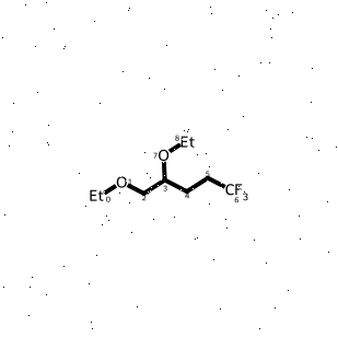 CCO[CH]C(CCC(F)(F)F)OCC